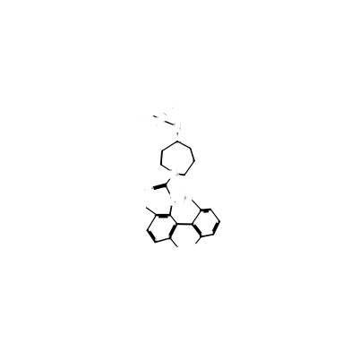 CCS(=O)(=O)N[C@H]1CCCN(C(=O)Nc2c(F)ccc(F)c2-c2c(F)cccc2F)CC1